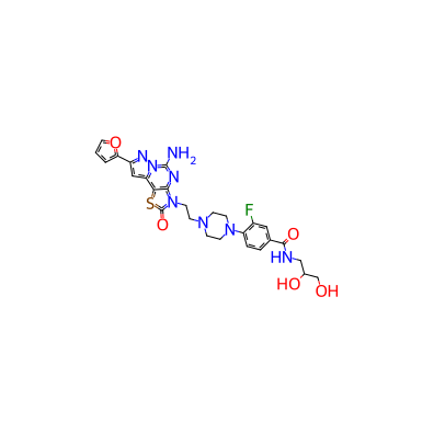 Nc1nc2c(sc(=O)n2CCN2CCN(c3ccc(C(=O)NCC(O)CO)cc3F)CC2)c2cc(-c3ccco3)nn12